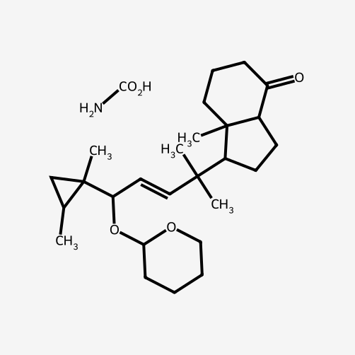 CC1CC1(C)C(C=CC(C)(C)C1CCC2C(=O)CCCC21C)OC1CCCCO1.NC(=O)O